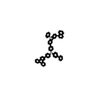 c1ccc(-c2ccc(N(c3ccc(-c4ccc5c6ccccc6c6ccccc6c5c4)cc3)c3ccc(-c4ccc5c(c4)c4cc(-c6cccc7ccccc67)ccc4n5-c4ccccc4)cc3)cc2)cc1